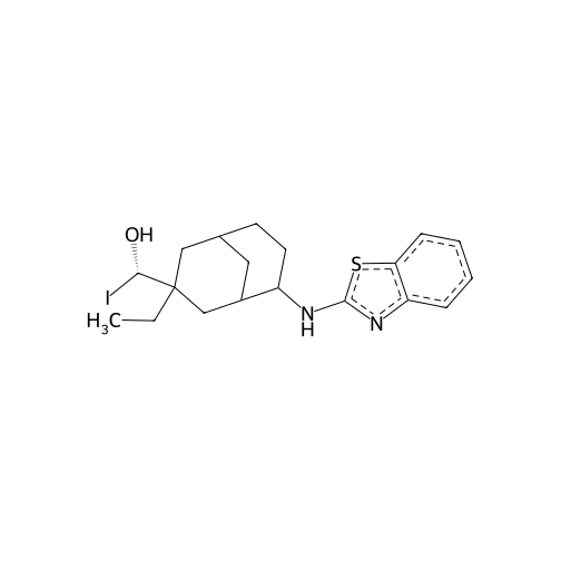 CCC1([C@@H](O)I)CC2CCC(Nc3nc4ccccc4s3)C(C2)C1